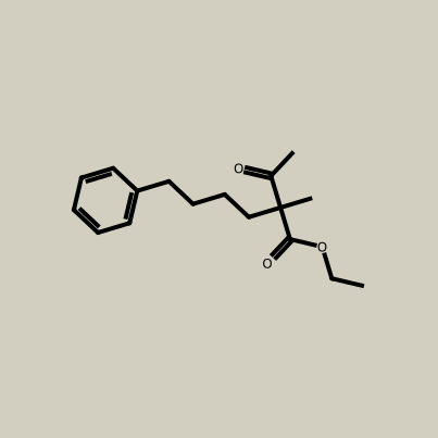 CCOC(=O)C(C)(CCCCc1ccccc1)C(C)=O